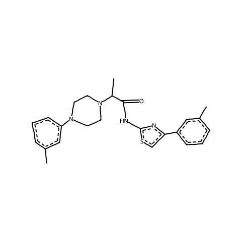 Cc1cccc(-c2csc(NC(=O)C(C)N3CCN(c4cccc(C)c4)CC3)n2)c1